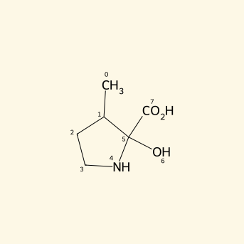 CC1CCNC1(O)C(=O)O